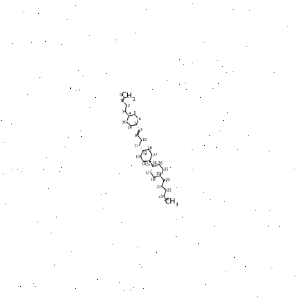 C=CCC[C@H]1CC[C@H](C=CCC[C@H]2CC[C@H]([C@H]3CC[C@H](CCCCC)CC3)CC2)CC1